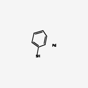 Sc1ccccc1.[Pd]